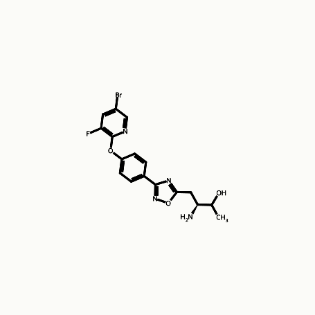 CC(O)[C@@H](N)Cc1nc(-c2ccc(Oc3ncc(Br)cc3F)cc2)no1